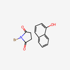 O=C1CCC(=O)N1Br.Oc1cccc2ccccc12